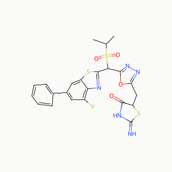 CC(C)S(=O)(=O)C(c1nnc(CC2SC(=N)NC2=O)o1)c1nc2c(F)cc(-c3ccccc3)cc2s1